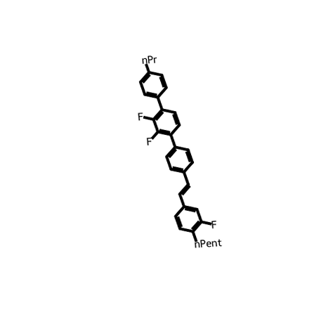 CCCCCc1ccc(/C=C/c2ccc(-c3ccc(-c4ccc(CCC)cc4)c(F)c3F)cc2)cc1F